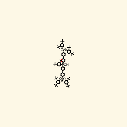 CC(C)(C)c1ccc(OP(Oc2ccc(C(C)(C)C)cc2C(C)(C)C)c2ccc(-c3ccc([PH](O)(c4ccc(-c5ccc(P(=O)(Oc6ccc(C(C)(C)C)cc6C(C)(C)C)Oc6ccc(C(C)(C)C)cc6C(C)(C)C)cc5)cc4)c4ccc(C(C)(C)C)cc4C(C)(C)C)cc3)cc2)c(C(C)(C)C)c1